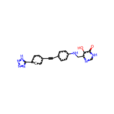 O=c1[nH]cnc(CNc2ccc(C#Cc3ccc(-c4nnn[nH]4)cc3)cc2)c1O